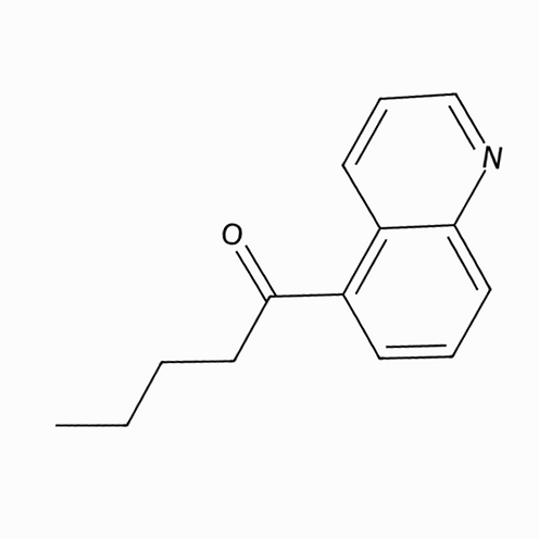 CCCCC(=O)c1cccc2ncccc12